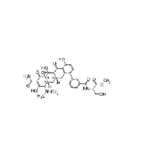 COC(=O)C(CO)NC(=O)c1cccc(-c2ccc(O)c3c2C[C@@H]2C[C@@H]4C(N(C)C)C(O)=C(C(N)=O)C(=O)[C@]4(O)C(O)=C2C3=O)c1